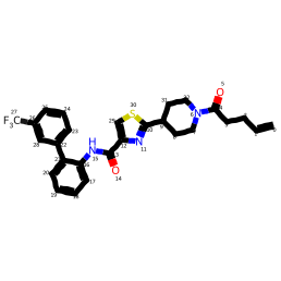 C=CCCC(=O)N1CCC(c2nc(C(=O)Nc3ccccc3-c3cccc(C(F)(F)F)c3)cs2)CC1